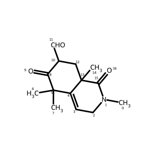 CN1CC=C2C(C)(C)C(=O)C(C=O)CC2(C)C1=O